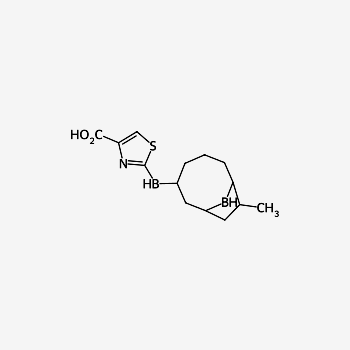 CC1CC2BC1CCCC(Bc1nc(C(=O)O)cs1)C2